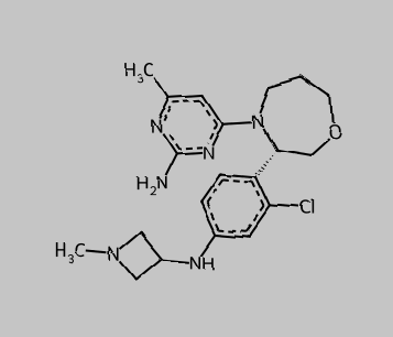 Cc1cc(N2CCCOC[C@@H]2c2ccc(NC3CN(C)C3)cc2Cl)nc(N)n1